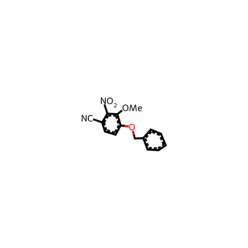 COc1c(OCc2ccccc2)ccc(C#N)c1[N+](=O)[O-]